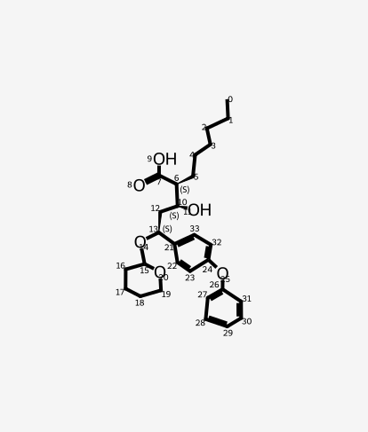 CCCCCC[C@H](C(=O)O)[C@@H](O)C[C@H](OC1CCCCO1)c1ccc(Oc2ccccc2)cc1